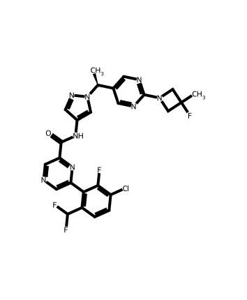 C[C@@H](c1cnc(N2CC(C)(F)C2)nc1)n1cc(NC(=O)c2cncc(-c3c(C(F)F)ccc(Cl)c3F)n2)cn1